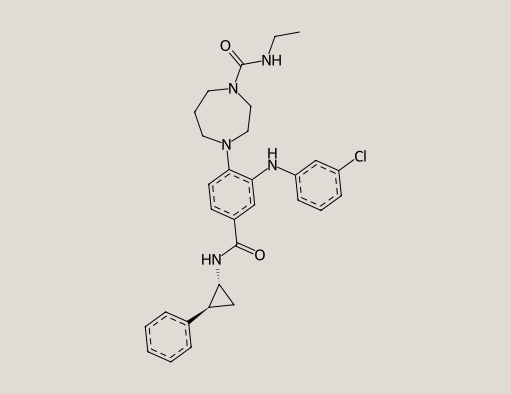 CCNC(=O)N1CCCN(c2ccc(C(=O)N[C@@H]3C[C@H]3c3ccccc3)cc2Nc2cccc(Cl)c2)CC1